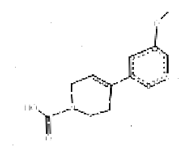 COc1cncc(C2=CCN(C(=O)O)CC2)c1